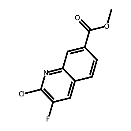 COC(=O)c1ccc2cc(F)c(Cl)nc2c1